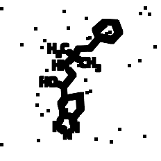 CC(C)(CCc1ccccc1)NCC(O)c1ccc2nnnn2c1